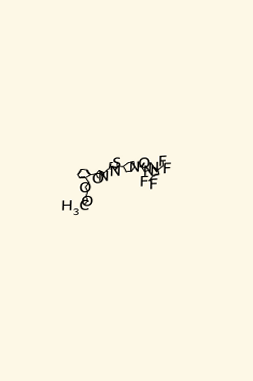 COCCOCc1ccccc1C1CC(c2csc(C3CCN(C(=O)Cn4nc(C(F)F)cc4C(F)F)CC3)n2)=NO1